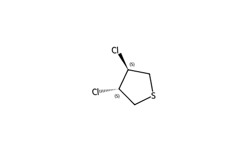 Cl[C@H]1CSC[C@@H]1Cl